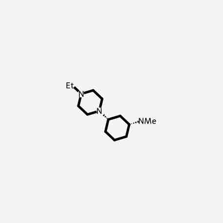 CCN1CCN([C@H]2CCC[C@@H](NC)C2)CC1